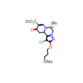 CCOC(=O)C1=CN2C(CC1=O)c1c(Cl)c(OCCCOC)nn1C[C@H]2C(C)(C)C